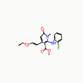 CCOC=Cc1cc(=O)n(C)c(Nc2ccccc2F)c1C(=O)OC